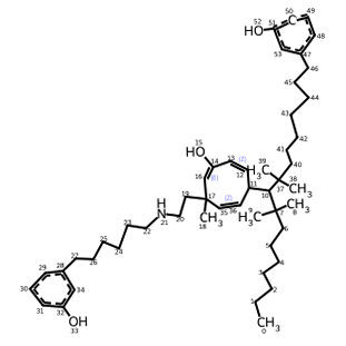 CCCCCCCC(C)(C)C(C1/C=C\C(O)=C/C(C)(CCNCCCCCCc2cccc(O)c2)/C=C\1)C(C)(C)CCCCCCCc1cccc(O)c1